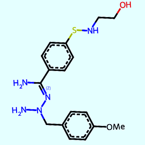 COc1ccc(CN(N)/N=C(\N)c2ccc(SNCCO)cc2)cc1